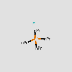 CCC[P+](CCC)(CCC)CCC.[F-]